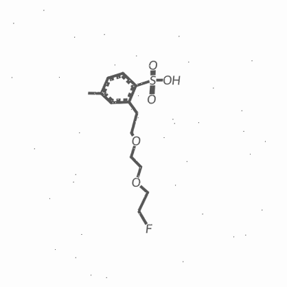 Cc1ccc(S(=O)(=O)O)c(CCOCCOCCF)c1